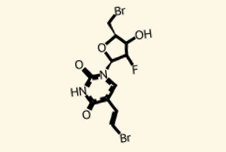 O=c1[nH]c(=O)n([C@H]2O[C@@H](CBr)C(O)C2F)cc1/C=C/Br